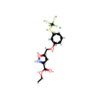 CCOC(=O)c1cc(COc2cccc(SC(F)(F)F)c2)on1